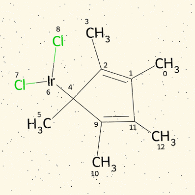 CC1=C(C)[C](C)([Ir]([Cl])[Cl])C(C)=C1C